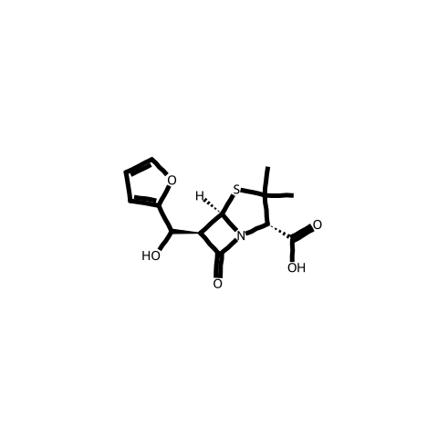 CC1(C)S[C@@H]2[C@H](C(O)c3ccco3)C(=O)N2[C@H]1C(=O)O